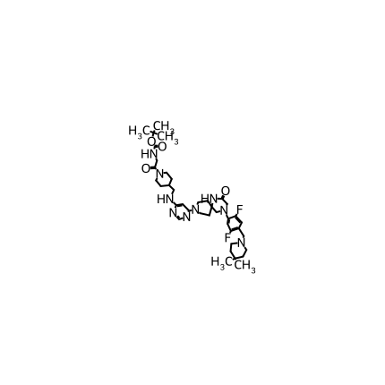 CC1(C)CCN(Cc2cc(F)c(N3CC(=O)NC4(CCN(c5cc(NCC6CCN(C(=O)CNC(=O)OC(C)(C)C)CC6)ncn5)CC4)C3)cc2F)CC1